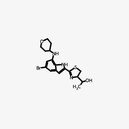 CC(O)C1CSC(c2cc3cc(Br)cc(NC4CCOCC4)c3[nH]2)=N1